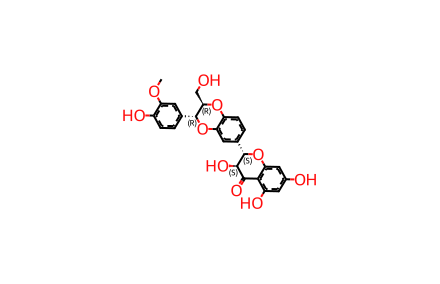 COc1cc([C@H]2Oc3cc([C@@H]4Oc5cc(O)cc(O)c5C(=O)[C@H]4O)ccc3O[C@@H]2CO)ccc1O